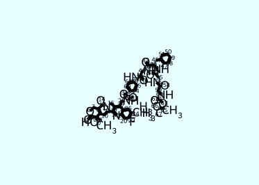 CC[C@@]1(O)C(=O)OCc2c1cc1n(c2=O)Cc2c-1nc1cc(F)c(C)cc1c2CNS(=O)(=O)c1ccc(NC(=O)CNC(=O)[C@H](Cc2ccccc2)NC(=O)CNC(=O)CNC(=O)OC(C)(C)C)cc1